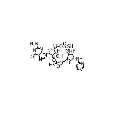 Nc1nc2c(ncn2[C@@H]2O[C@@H]3CO[P@@](=O)(S)O[C@@H]4[C@@H](CO[P@](=O)(S)O[C@@H]2[C@@H]3O)C[C@@H](Nc2ccncn2)[C@H]4F)c(=O)[nH]1